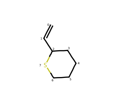 C=CC1CCCCS1